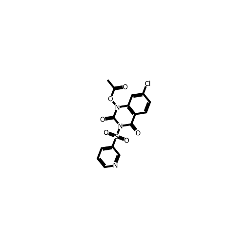 CC(=O)On1c(=O)n(S(=O)(=O)c2cccnc2)c(=O)c2ccc(Cl)cc21